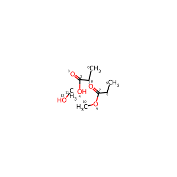 CCC(=O)O.CCC(=O)OC.CO